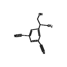 [CH2]C(CO)c1cc(C#N)cc(C#N)c1